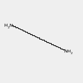 NCCCCCCCCCCCCCCCCCCCCCCCCCCCCCCCCCCCCCCCCCCCCCN